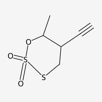 C#CC1CSS(=O)(=O)OC1C